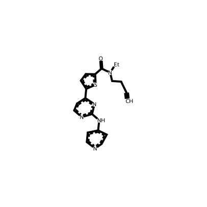 C#CCCN(CC)C(=O)c1ccc(-c2ccnc(Nc3ccncc3)n2)s1